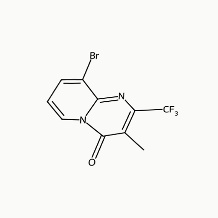 Cc1c(C(F)(F)F)nc2c(Br)cccn2c1=O